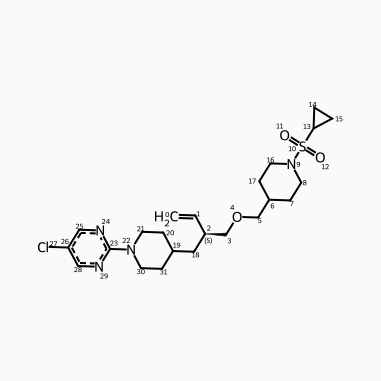 C=C[C@@H](COCC1CCN(S(=O)(=O)C2CC2)CC1)CC1CCN(c2ncc(Cl)cn2)CC1